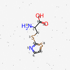 NC(CSc1nccs1)C(=O)O